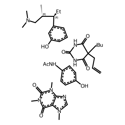 C=CCC1(C(C)CC)C(=O)NC(=O)NC1=O.CC(=O)Nc1ccc(O)cc1.CC[C@@H](c1cccc(O)c1)[C@@H](C)CN(C)C.Cn1c(=O)c2c(ncn2C)n(C)c1=O